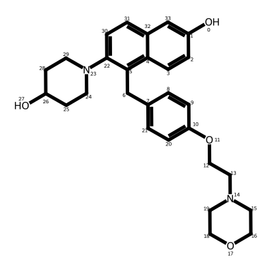 Oc1ccc2c(Cc3ccc(OCCN4CCOCC4)cc3)c(N3CCC(O)CC3)ccc2c1